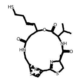 CC(C)C1NC(=O)C2(C)CSC(=N2)c2csc(n2)CNC(=O)CC(/C=C/CCS)OC1=O